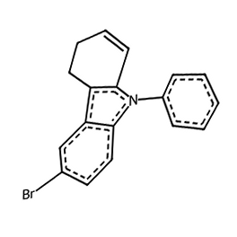 Brc1ccc2c(c1)c1c(n2-c2ccccc2)C=CCC1